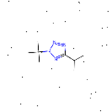 CC(C)c1nnn(C(C)(C)C)n1